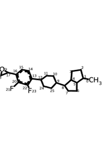 CC1CCC2C1CCC2C1CCC(c2ccc(C3CO3)c(F)c2F)CC1